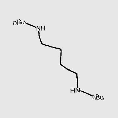 CCCCNCCCCNCCCC